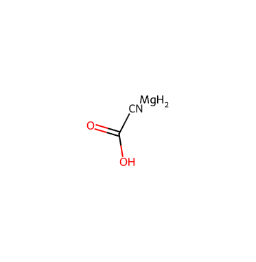 N#CC(=O)O.[MgH2]